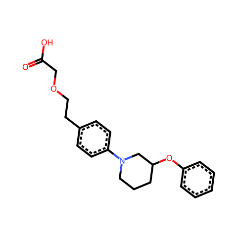 O=C(O)COCCc1ccc(N2CCCC(Oc3ccccc3)C2)cc1